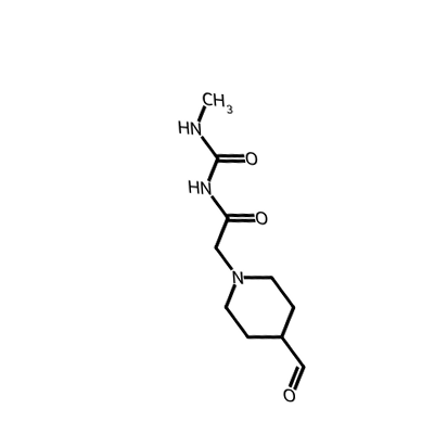 CNC(=O)NC(=O)CN1CCC(C=O)CC1